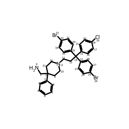 NCC1(c2ccccc2)CCN(CCC(c2ccc(Cl)cc2)(c2ccc(Br)cc2)c2ccc(Br)cc2)CC1